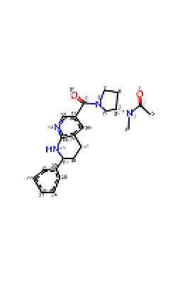 CC(=O)N(C)[C@H]1CCN(C(=O)c2cnc3c(c2)CCC(c2ccccc2)N3)C1